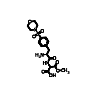 COC(=O)C(NC(=O)[C@@H](N)Cc1ccc(S(=O)(=O)N2CCOCC2)cc1)C(=O)O